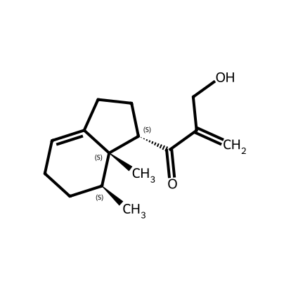 C=C(CO)C(=O)[C@H]1CCC2=CCC[C@H](C)[C@]21C